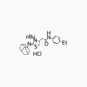 CCCCN1/C(=N/C23CC4CC(CC(C4)C2)C3)SCC1CC(=O)Nc1ccc(CC)cc1.Cl